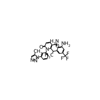 Cc1cnnn1-c1cccc(-n2c(C(C)c3cc(N)cc(C(F)(F)F)c3)c(C(N)=O)ccc2=O)c1